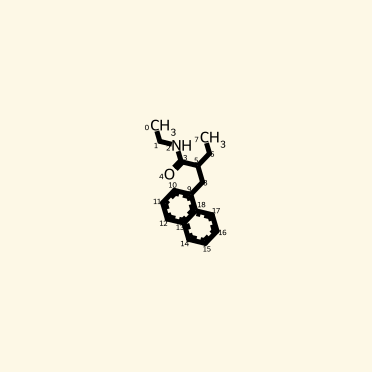 CCNC(=O)C(CC)Cc1cccc2ccccc12